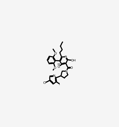 CCCCc1nc(O)c(C(=O)N2CCC(c3ncc(Cl)cc3I)C2)c(O)c1-c1c(OC)cccc1OC